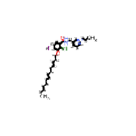 CCCCCCCCCCCCCCOc1cccc(C(=O)NCc2ccc[n+](CCC)c2)c1Cl.[I-]